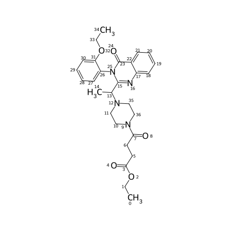 CCOC(=O)CCC(=O)N1CCN(C(C)c2nc3ccccc3c(=O)n2-c2ccccc2OCC)CC1